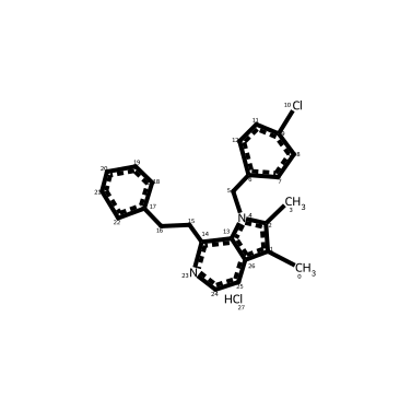 Cc1c(C)n(Cc2ccc(Cl)cc2)c2c(CCc3ccccc3)nccc12.Cl